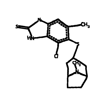 Cc1cc2c(c(Cl)c1SC1CC3CCC(C1)N3C)NC(=S)[N]2